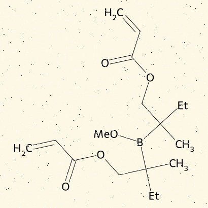 C=CC(=O)OCC(C)(CC)B(OC)C(C)(CC)COC(=O)C=C